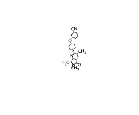 Cc1cc2c(nc1N1CCC(Oc3cccc(C#N)c3)CC1)[C@@H](C)N(C)C2=O